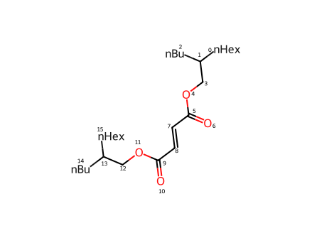 CCCCCCC(CCCC)COC(=O)C=CC(=O)OCC(CCCC)CCCCCC